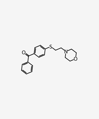 O=C(c1ccccc1)c1ccc(SCCN2CCOCC2)cc1